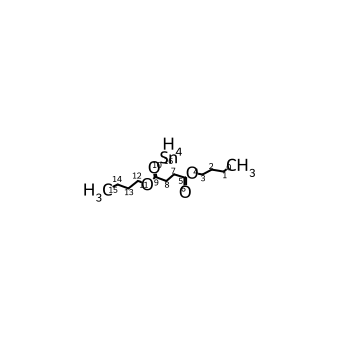 CCCCOC(=O)CCC(=O)OCCCC.[SnH4]